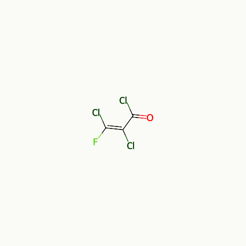 O=C(Cl)C(Cl)=C(F)Cl